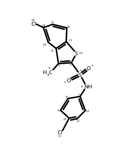 Cc1c(S(=O)(=O)Nc2ccc(Cl)cc2)sc2ccc(Cl)cc12